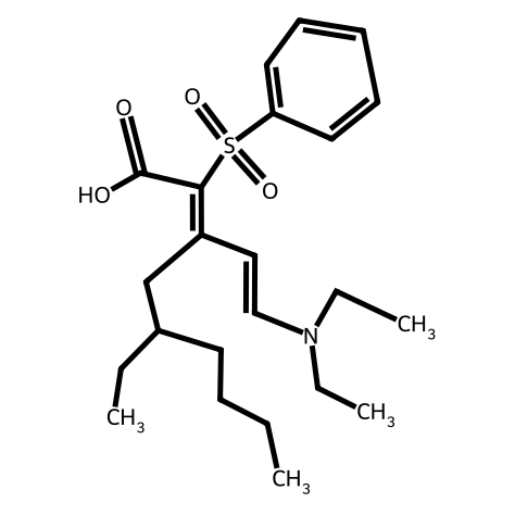 CCCCC(CC)CC(C=CN(CC)CC)=C(C(=O)O)S(=O)(=O)c1ccccc1